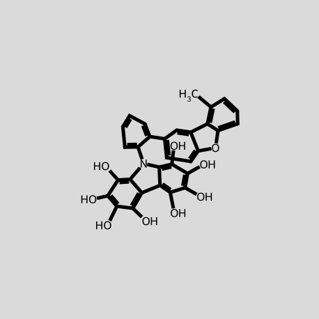 Cc1cccc2oc3ccc(-c4ccccc4-n4c5c(O)c(O)c(O)c(O)c5c5c(O)c(O)c(O)c(O)c54)cc3c12